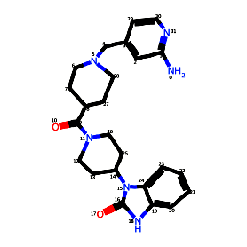 Nc1cc(CN2CCC(C(=O)N3CCC(n4c(=O)[nH]c5ccccc54)CC3)CC2)ccn1